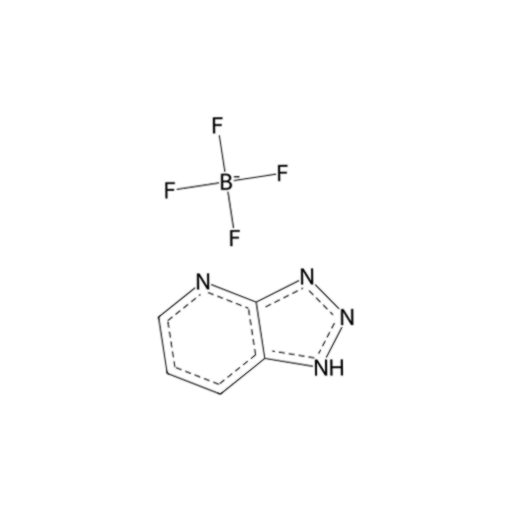 F[B-](F)(F)F.c1cnc2nn[nH]c2c1